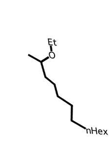 CCCCCCCCCCCC(C)OCC